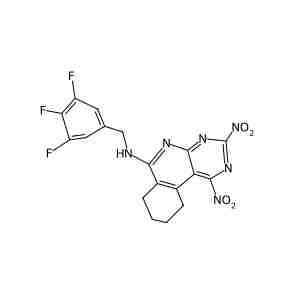 O=[N+]([O-])c1nc([N+](=O)[O-])c2c3c(c(NCc4cc(F)c(F)c(F)c4)nc2n1)CCCC3